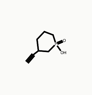 C#CC1CCCP(=O)(O)C1